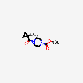 CC(C)(C)OC(=O)N1CCN(C(=O)C2(C(=O)O)CC2)CC1